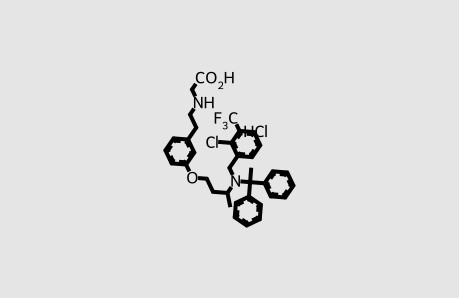 CC(CCOc1cccc(CCNCC(=O)O)c1)N(Cc1cccc(C(F)(F)F)c1Cl)C(C)(c1ccccc1)c1ccccc1.Cl